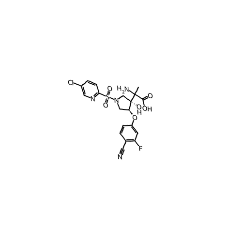 CC(N)(C(=O)O)[C@]1(O)CN(S(=O)(=O)c2ccc(Cl)cn2)C[C@@H]1Oc1ccc(C#N)c(F)c1